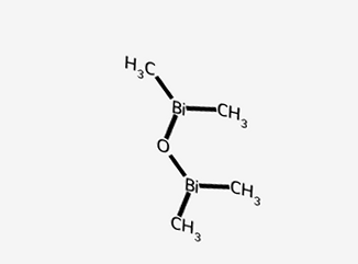 [CH3][Bi]([CH3])[O][Bi]([CH3])[CH3]